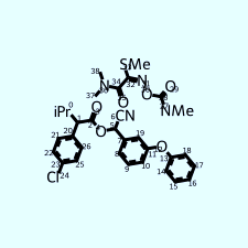 CC(C)C(C(=O)OC(C#N)c1cccc(Oc2ccccc2)c1)c1ccc(Cl)cc1.CNC(=O)ON=C(SC)C(=O)N(C)C